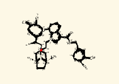 CC(C)Oc1cccc2c(C(=O)NCc3ccc(Cl)c(Cl)c3)cn(CCCN3[C@@H]4CC[C@H]3C[C@@H](CC(=O)c3ccc(Cl)c(Cl)c3)C4)c12